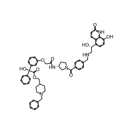 O=C(COc1cccc([C@](O)(C(=O)OCC2CCN(Cc3ccccc3)CC2)c2ccccc2)c1)N[C@@H]1CCN(C(=O)c2ccc(CNC[C@H](O)c3ccc(O)c4[nH]c(=O)ccc34)cc2)C1